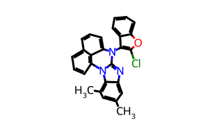 Cc1cc(C)c2c(c1)nc1n(-c3c(Cl)oc4ccccc34)c3cccc4cccc(c43)n21